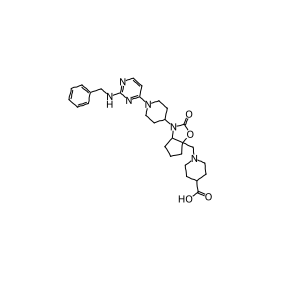 O=C(O)C1CCN(CC23CCCC2N(C2CCN(c4ccnc(NCc5ccccc5)n4)CC2)C(=O)O3)CC1